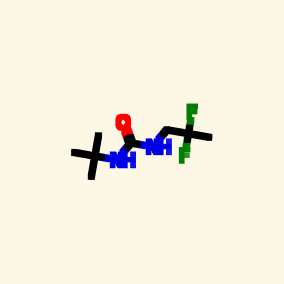 CC(F)(F)CNC(=O)NC(C)(C)C